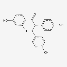 O=C1c2ccc(O)cc2OC(c2ccc(O)cc2)C1c1ccc(O)cc1